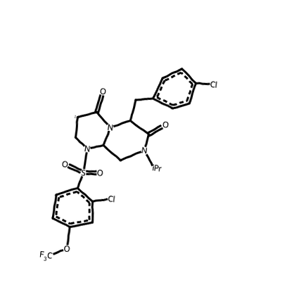 CC(C)N1CC2N(C(=O)[C]CN2S(=O)(=O)c2ccc(OC(F)(F)F)cc2Cl)C(Cc2ccc(Cl)cc2)C1=O